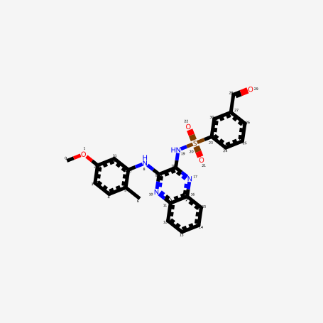 COc1ccc(C)c(Nc2nc3ccccc3nc2NS(=O)(=O)c2cccc(C=O)c2)c1